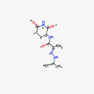 C=C(C)N/N=C(\C)C(=O)NC1CCC(=O)NC1=O